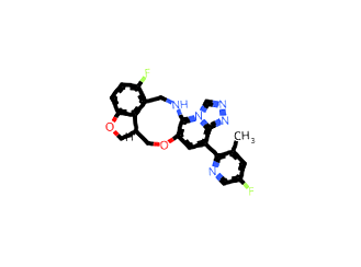 Cc1cc(F)cnc1-c1cc2c(n3cnnc13)NCc1c(F)ccc3c1[C@@H](CO3)CO2